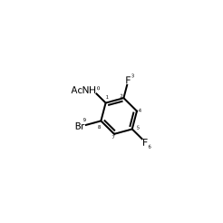 CC(=O)Nc1c(F)cc(F)cc1Br